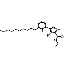 CCCCCCCCCCc1cccc(-c2cn(C)c(C(=O)OCC)c2F)c1C